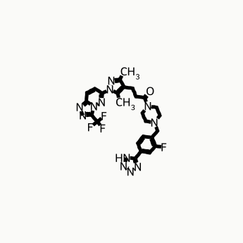 Cc1nn(-c2ccc3nnc(C(F)(F)F)n3n2)c(C)c1CCC(=O)N1CCN(Cc2ccc(-c3nnn[nH]3)cc2F)CC1